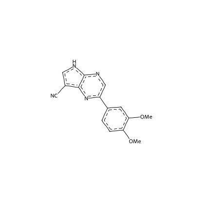 COc1ccc(-c2cnc3[nH]cc(C#N)c3n2)cc1OC